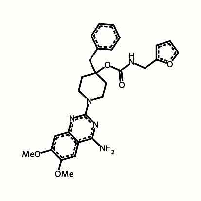 COc1cc2nc(N3CCC(Cc4ccccc4)(OC(=O)NCc4ccco4)CC3)nc(N)c2cc1OC